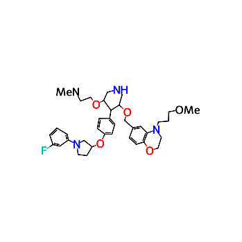 CNCCOC1CNCC(OCc2ccc3c(c2)N(CCCOC)CCO3)C1c1ccc(OC2CCN(c3cccc(F)c3)C2)cc1